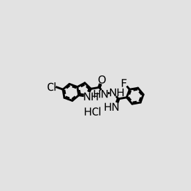 Cl.N=C(NNC(=O)c1cc2cc(Cl)ccc2[nH]1)c1ccccc1F